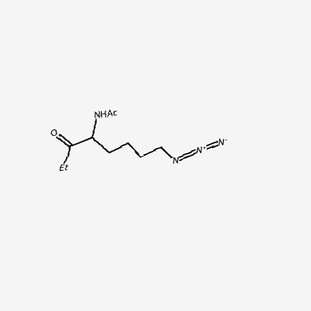 CCC(=O)C(CCCCN=[N+]=[N-])NC(C)=O